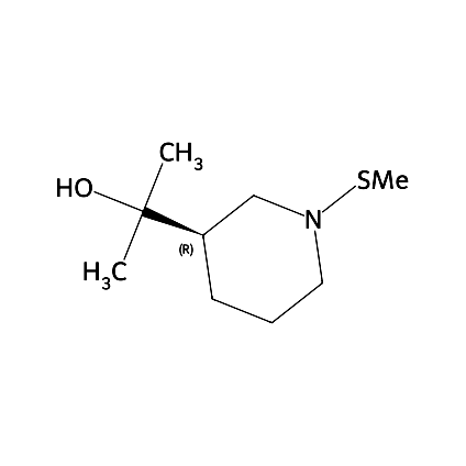 CSN1CCC[C@@H](C(C)(C)O)C1